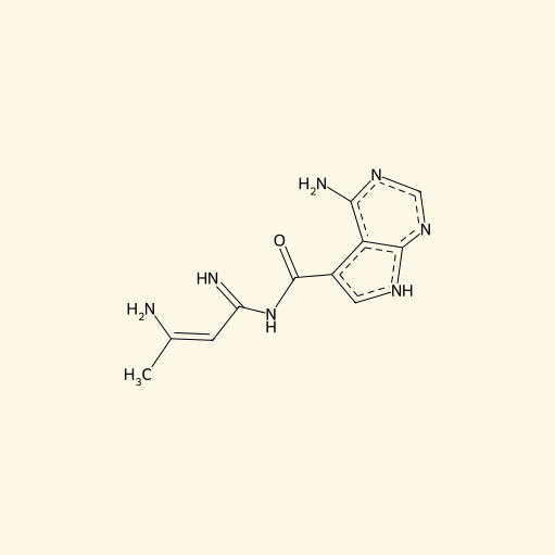 C/C(N)=C/C(=N)NC(=O)c1c[nH]c2ncnc(N)c12